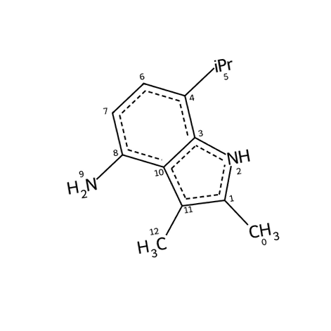 Cc1[nH]c2c(C(C)C)ccc(N)c2c1C